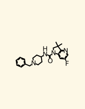 CC1(C)CN(C(=O)NC2CCN(Cc3ccccc3)CC2)c2cc(F)cnc21